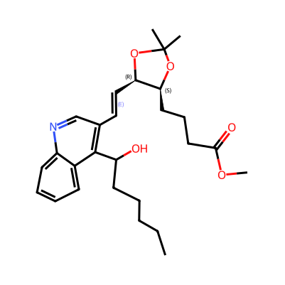 CCCCCC(O)c1c(/C=C/[C@H]2OC(C)(C)O[C@H]2CCCC(=O)OC)cnc2ccccc12